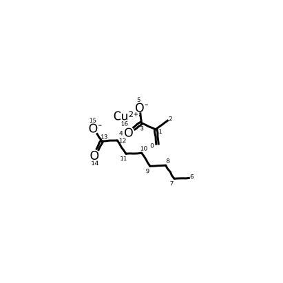 C=C(C)C(=O)[O-].CCCCCCCC(=O)[O-].[Cu+2]